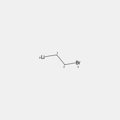 [Li][CH2]CBr